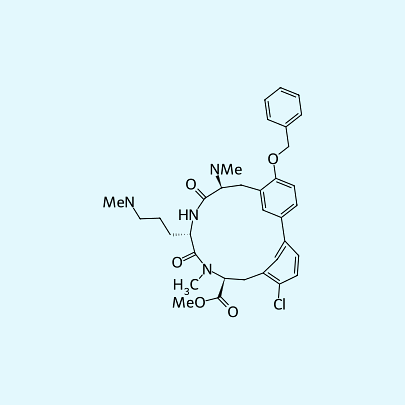 CNCCC[C@@H]1NC(=O)[C@@H](NC)Cc2cc(ccc2OCc2ccccc2)-c2ccc(Cl)c(c2)C[C@@H](C(=O)OC)N(C)C1=O